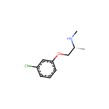 CN[C@H](C)COc1cccc(Cl)c1